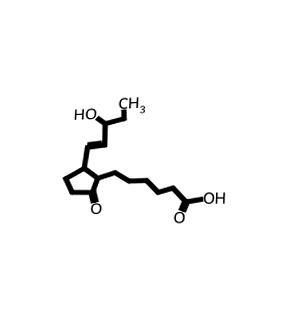 CCC(O)C=CC1CCC(=O)C1CCCCCC(=O)O